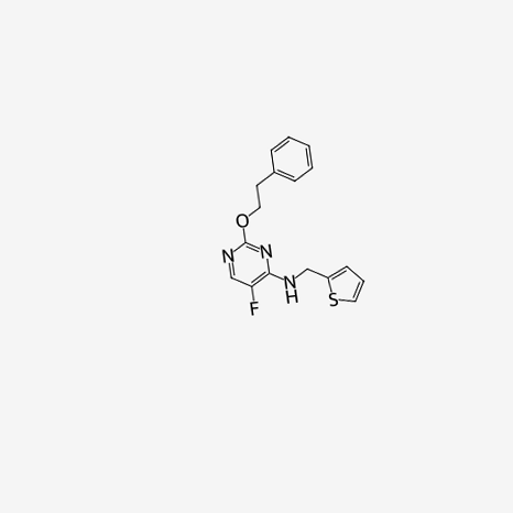 Fc1cnc(OCCc2ccccc2)nc1NCc1cccs1